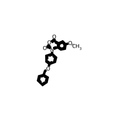 COc1ccc2c(c1)c(=O)oc(=O)n2-c1ccc(OCc2ccccc2)cc1